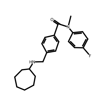 CN(C(=O)c1ccc(CNC2CCCCCC2)cc1)c1ccc(F)cc1